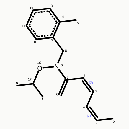 C=C(/C=C\C=C/C)N(Cc1ccccc1C)OC(C)C